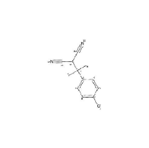 CC(C)(c1ccc(Cl)cc1)C(C#N)C#N